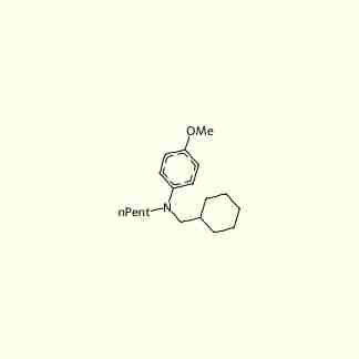 CCCCCN(CC1CCCCC1)c1ccc(OC)cc1